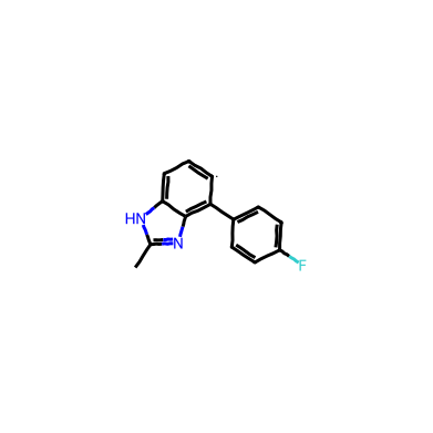 Cc1nc2c(-c3ccc(F)cc3)[c]ccc2[nH]1